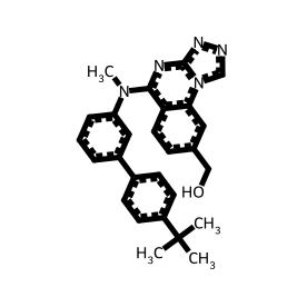 CN(c1cccc(-c2ccc(C(C)(C)C)cc2)c1)c1nc2nncn2c2cc(CO)ccc12